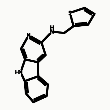 c1csc(CNc2cc3c(cn2)[nH]c2ccccc23)c1